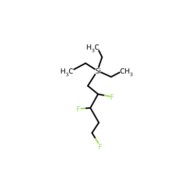 CC[Si](CC)(CC)CC(F)C(F)CCF